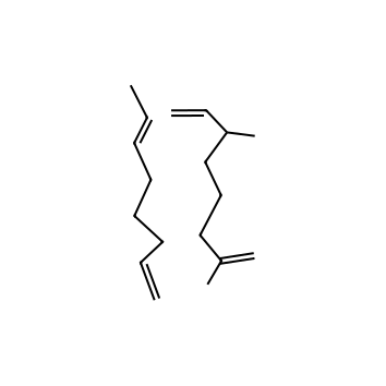 C=CC(C)CCCC(=C)C.C=CCCCC=CC